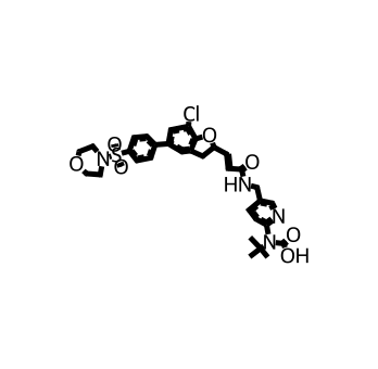 CC(C)(C)N(C(=O)O)c1ccc(CNC(=O)C=CC2Cc3cc(-c4ccc(S(=O)(=O)N5CCOCC5)cc4)cc(Cl)c3O2)cn1